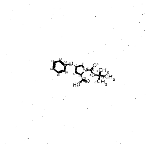 CC(C)(C)OC(=O)N1C[C@@H](Oc2ccccc2)C[C@@H]1C(=O)O